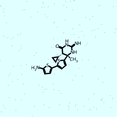 C[C@]1(c2ccc(-c3ccc(N)s3)s2)NC(=N)NC(=O)[C@H]1C1CC1